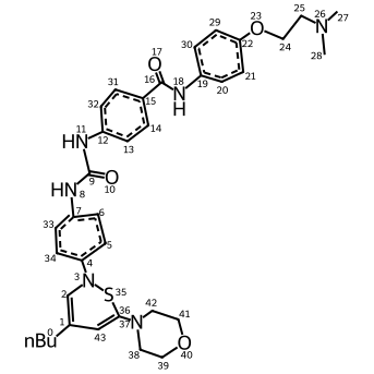 CCCCC1=CN(c2ccc(NC(=O)Nc3ccc(C(=O)Nc4ccc(OCCN(C)C)cc4)cc3)cc2)SC(N2CCOCC2)=C1